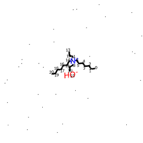 CCCCCCC[N+](CCC)(CCC)CCCCCCC.[OH-]